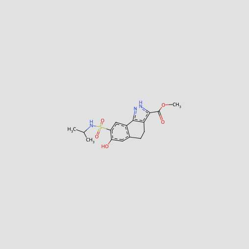 COC(=O)c1[nH]nc2c1CCc1cc(O)c(S(=O)(=O)NC(C)C)cc1-2